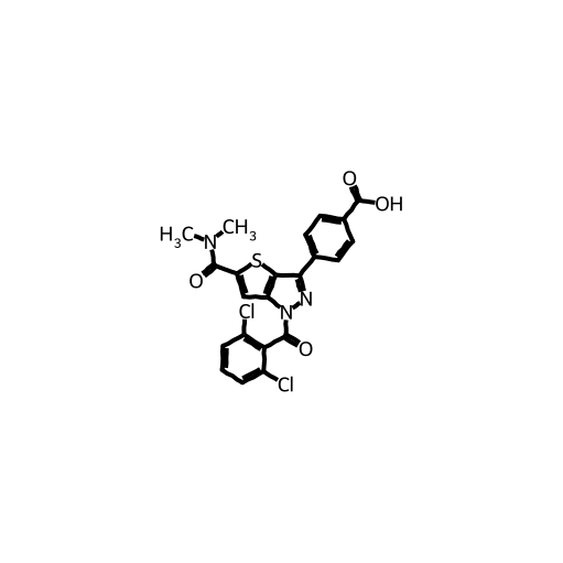 CN(C)C(=O)c1cc2c(s1)c(-c1ccc(C(=O)O)cc1)nn2C(=O)c1c(Cl)cccc1Cl